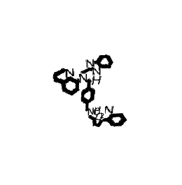 O=[N+]([O-])c1ccccc1-c1ccc(CNCc2ccc(CN(Cc3nc4ccccc4[nH]3)C3CCCc4cccnc43)cc2)o1